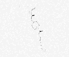 NCCCCCC(=O)N1CCC(CC(=O)N[C@@H](CC(=O)O)C(=O)O)CC1